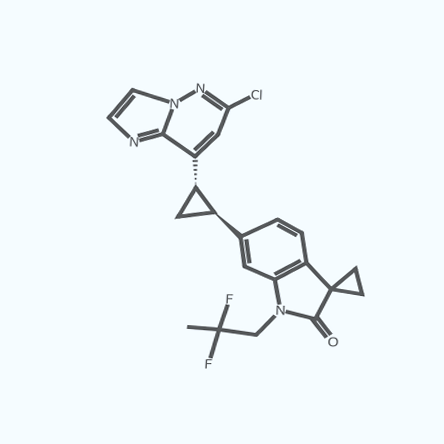 CC(F)(F)CN1C(=O)C2(CC2)c2ccc([C@H]3C[C@@H]3c3cc(Cl)nn4ccnc34)cc21